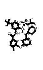 COc1c(NC(=O)c2ccc(C)c(Oc3ccnc(CC4CCNCC4)c3)c2)cc(C(C)(C)C)cc1NS(=O)(=O)CC(C)C